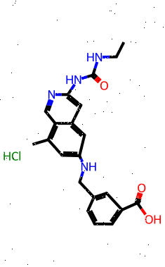 CCNC(=O)Nc1cc2cc(NCc3cccc(C(=O)O)c3)cc(C)c2cn1.Cl